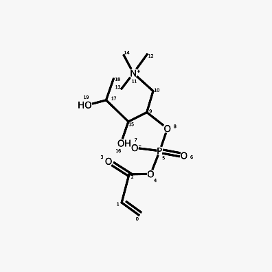 C=CC(=O)OP(=O)([O-])OC(C[N+](C)(C)C)C(O)C(C)O